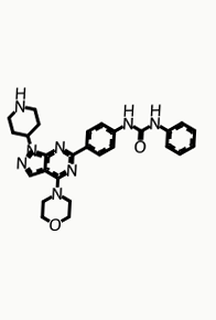 O=C(Nc1ccccc1)Nc1ccc(-c2nc(N3CCOCC3)c3cnn(C4CCNCC4)c3n2)cc1